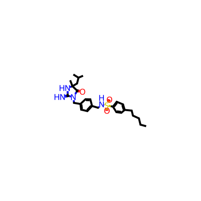 CCCCCc1ccc(S(=O)(=O)NCc2ccc(CN3C(=N)NC(C)(CC(C)C)C3=O)cc2)cc1